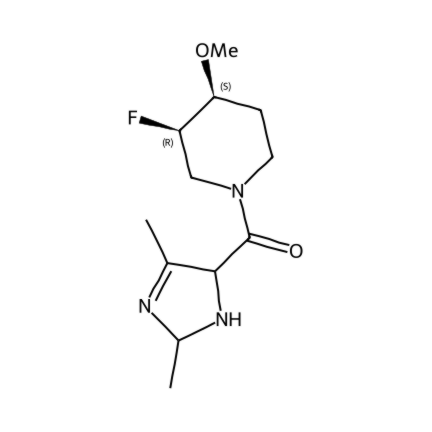 CO[C@H]1CCN(C(=O)C2NC(C)N=C2C)C[C@H]1F